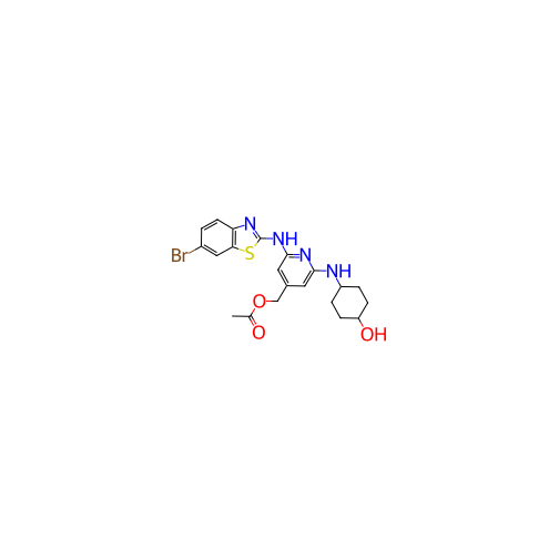 CC(=O)OCc1cc(Nc2nc3ccc(Br)cc3s2)nc(NC2CCC(O)CC2)c1